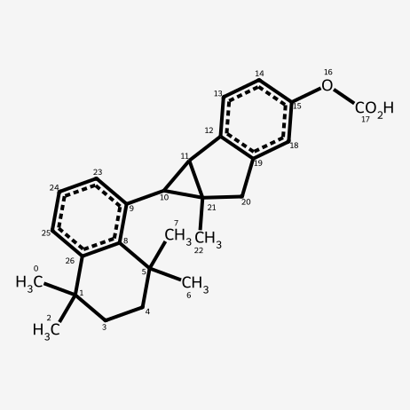 CC1(C)CCC(C)(C)c2c(C3C4c5ccc(OC(=O)O)cc5CC43C)cccc21